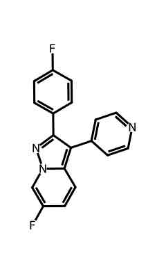 Fc1ccc(-c2nn3cc(F)ccc3c2-c2ccncc2)cc1